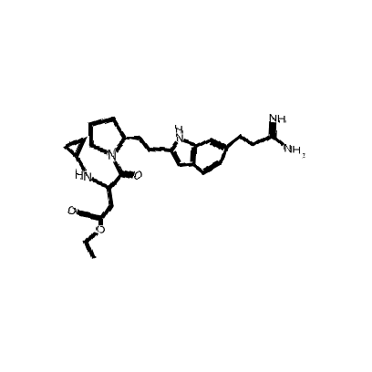 CCOC(=O)CC(NC1CC1)C(=O)N1CCC[C@H]1CCc1cc2ccc(CCC(=N)N)cc2[nH]1